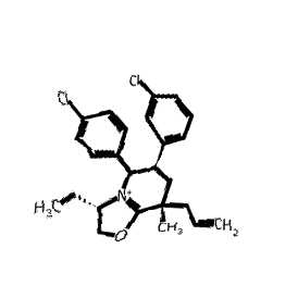 C=CC[C@@]1(C)C[C@H](c2cccc(Cl)c2)C(c2ccc(Cl)cc2)[N+]2=C1OC[C@@H]2CC